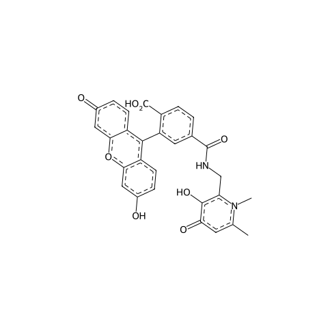 Cc1cc(=O)c(O)c(CNC(=O)c2ccc(C(=O)O)c(-c3c4ccc(=O)cc-4oc4cc(O)ccc34)c2)n1C